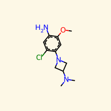 COc1cc(N2CC(N(C)C)C2)c(Cl)cc1N